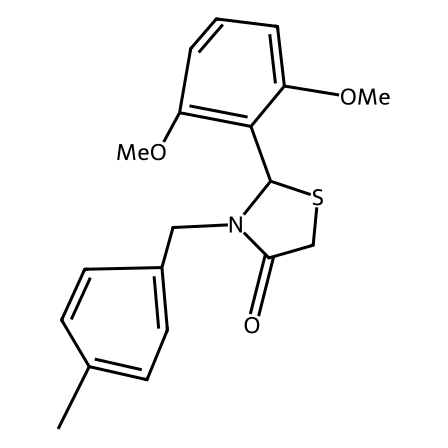 COc1cccc(OC)c1C1SCC(=O)N1Cc1ccc(C)cc1